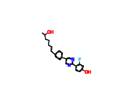 CC(O)CCCC=Cc1ccc(-c2cnc(-c3ccc(O)cc3F)nc2)cc1